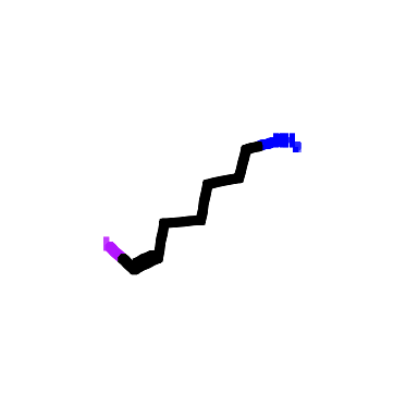 NCCCCC/C=C\I